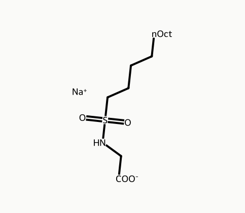 CCCCCCCCCCCCS(=O)(=O)NCC(=O)[O-].[Na+]